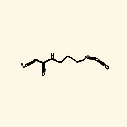 C=CC(=O)NCCCN=C=O